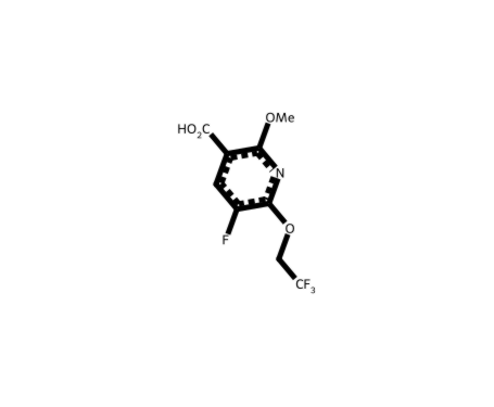 COc1nc(OCC(F)(F)F)c(F)cc1C(=O)O